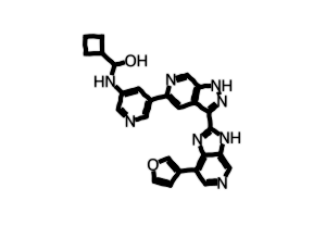 OC(Nc1cncc(-c2cc3c(-c4nc5c(-c6ccoc6)cncc5[nH]4)n[nH]c3cn2)c1)C1CCC1